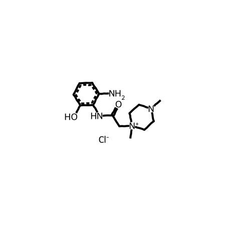 CN1CC[N+](C)(CC(=O)Nc2c(N)cccc2O)CC1.[Cl-]